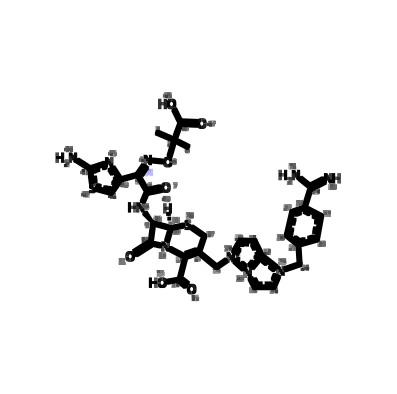 CC(C)(O/N=C(\C(=O)N[C@@H]1C(=O)N2C(C(=O)O)=C(C[n+]3ccc4n(Cc5ccc(C(=N)N)cc5)ccn43)CS[C@H]12)c1csc(N)n1)C(=O)O